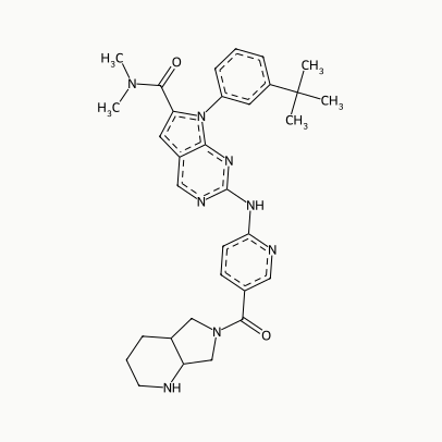 CN(C)C(=O)c1cc2cnc(Nc3ccc(C(=O)N4CC5CCCNC5C4)cn3)nc2n1-c1cccc(C(C)(C)C)c1